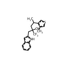 Cc1cscc1C(C)CC(O)(Cc1cc2ccccc2[nH]1)C(F)(F)F